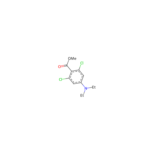 CCN(CC)c1cc(Cl)c(C(=O)OC)c(Cl)c1